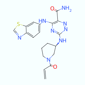 C=CC(=O)N1CCC[C@@H](Nc2nnc(C(N)=O)c(Nc3ccc4ncsc4c3)n2)C1